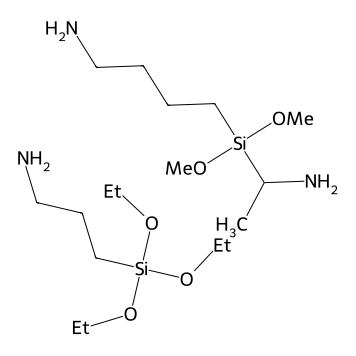 CCO[Si](CCCN)(OCC)OCC.CO[Si](CCCCN)(OC)C(C)N